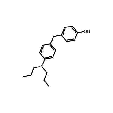 CCCN(CCC)c1ccc(Cc2ccc(O)cc2)cc1